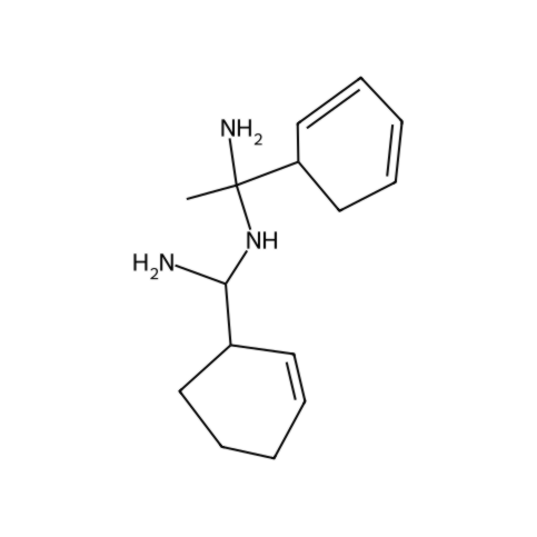 CC(N)(NC(N)C1C=CCCC1)C1C=CC=CC1